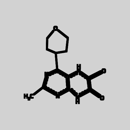 Cc1nc(C2CCOCC2)c2[nH]c(=O)c(=O)[nH]c2n1